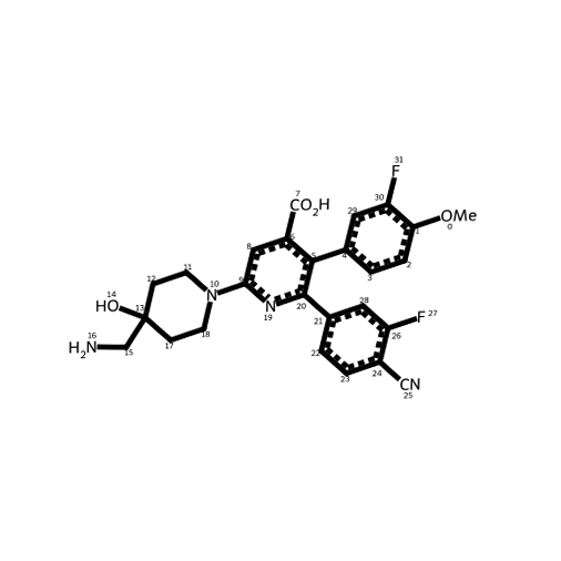 COc1ccc(-c2c(C(=O)O)cc(N3CCC(O)(CN)CC3)nc2-c2ccc(C#N)c(F)c2)cc1F